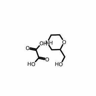 O=C(O)C(=O)O.OCC1CNCCO1